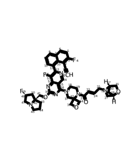 C#Cc1c(F)ccc2cccc(-c3ncc4c(N5CCN(C(=O)/C=C/CN6C[C@@H]7C[C@H]6CO7)C6(COC6)C5)nc(OC[C@@]56CCCN5C[C@H](F)C6)nc4c3F)c12